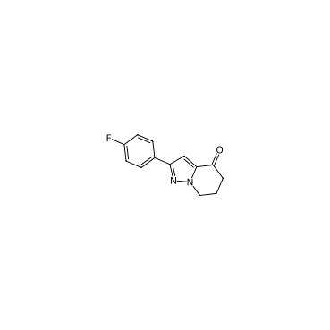 O=C1CCCn2nc(-c3ccc(F)cc3)cc21